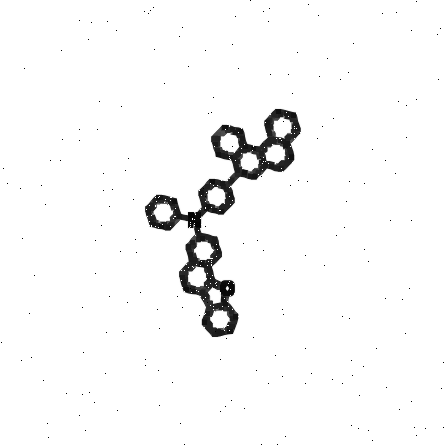 c1ccc(N(c2ccc(-c3cc4ccc5ccccc5c4c4ccccc34)cc2)c2ccc3c(ccc4c5ccccc5oc34)c2)cc1